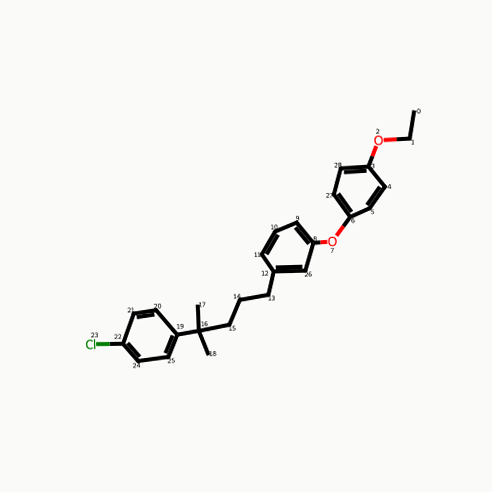 CCOc1ccc(Oc2cccc(CCCC(C)(C)c3ccc(Cl)cc3)c2)cc1